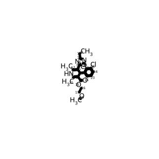 CCc1noc(C2=C(C)NC(C)=C(C(=O)OCCOC)C2c2cccc(Cl)c2Cl)n1